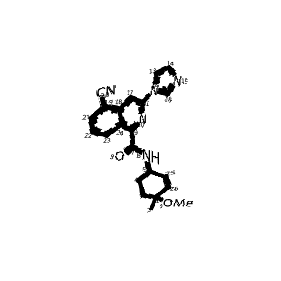 COC1(C)CCC(NC(=O)c2nc(-n3ccnc3)cc3c(C#N)cccc23)CC1